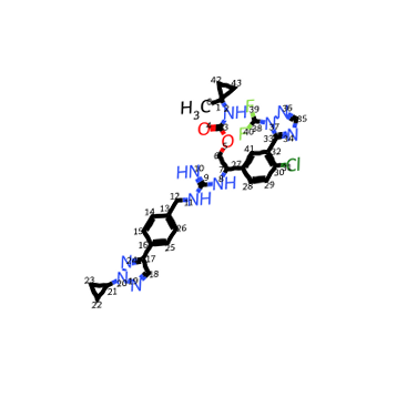 CC1(NC(=O)OCC(NC(=N)NCc2ccc(-c3cnn(C4CC4)n3)cc2)c2ccc(Cl)c(-c3ncnn3C(F)F)c2)CC1